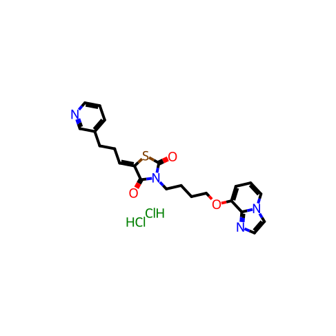 Cl.Cl.O=C1SC(=CCCc2cccnc2)C(=O)N1CCCCOc1cccn2ccnc12